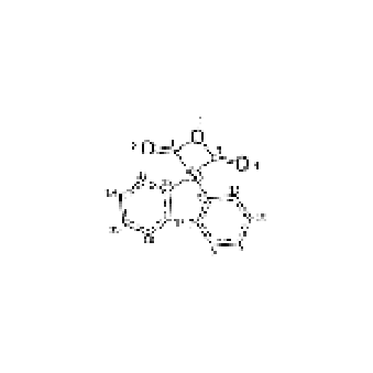 O=C1OC(=O)S1(c1ccccc1)c1ccccc1